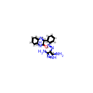 Nc1n[nH]c(N)c1N=Nc1ccccc1-c1nc2ccccc2[nH]c1=O